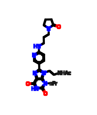 CCCn1c(=O)[nH]c(=O)c2nc(-c3ccc(NCCCN4CCCC4=O)nc3)n(CCNC(C)=O)c21